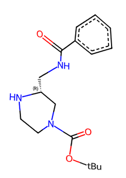 CC(C)(C)OC(=O)N1CCN[C@H](CNC(=O)c2ccccc2)C1